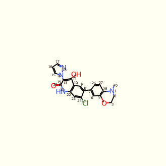 CN1CCOc2cc(-c3cc4c(O)c(-n5cccn5)c(=O)[nH]c4cc3Cl)ccc21